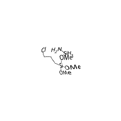 CO[Si](CCCCl)(OC)OC.N[SiH3]